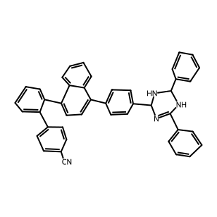 N#Cc1ccc(-c2ccccc2-c2ccc(-c3ccc(C4N=C(c5ccccc5)NC(c5ccccc5)N4)cc3)c3ccccc23)cc1